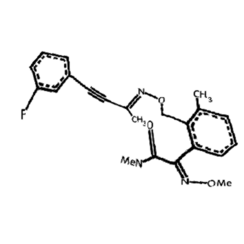 CNC(=O)/C(=N/OC)c1cccc(C)c1CO/N=C(\C)C#Cc1cccc(F)c1